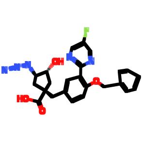 [N-]=[N+]=N[C@@H]1C[C@@](Cc2ccc(OCc3ccccc3)c(-c3ncc(F)cn3)c2)(C(=O)O)C[C@H]1O